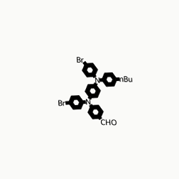 CCCCc1ccc(N(c2ccc(Br)cc2)c2ccc(N(c3ccc(Br)cc3)c3ccc(C=O)cc3)cc2)cc1